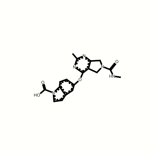 CNC(=O)N1Cc2nc(C)nc(Oc3ccc4c(ccn4C(=O)O)c3)c2C1